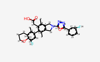 Cc1c(-c2c(C)c3c(c(C)c2CC(=O)O)CN(c2nnc(-c4cccc(F)c4)o2)C3)cc(F)c2c1CCCO2